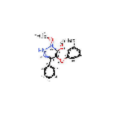 CCCCCCOC1=C(Oc2ccccc2)C(c2ccccc2)=NNN1OCCCCCC